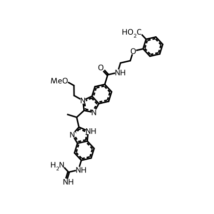 COCCn1c(C(C)c2nc3cc(NC(=N)N)ccc3[nH]2)nc2ccc(C(=O)NCCOc3ccccc3C(=O)O)cc21